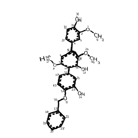 COc1cc(-c2cc(OC)c(-c3ccc(OCc4ccccc4)c(O)c3)c(O)c2OC)ccc1O